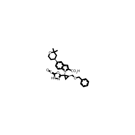 CC1(C)C[C@@H](c2ccc3c(c2)cc(C(=O)O)n3[C@@]2(C3=NNC(=C=O)O3)C[C@@H]2COCc2ccccc2)CCO1